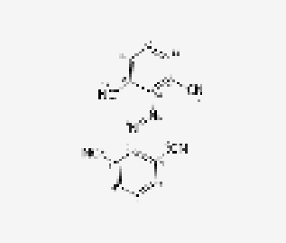 N#Cc1cccc(C#N)c1N=Nc1c(C#N)cccc1C#N